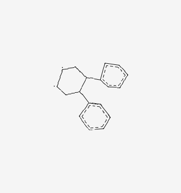 [CH]1[CH]CC(c2ccccc2)C(c2ccccc2)C1